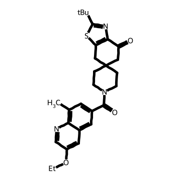 CCOc1cnc2c(C)cc(C(=O)N3CCC4(CC3)CC(=O)c3nc(C(C)(C)C)sc3C4)cc2c1